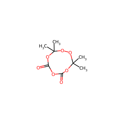 CC1(C)OOC(C)(C)OC(=O)OC(=O)O1